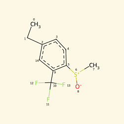 CCc1ccc([S+](C)[O-])c(C(F)(F)F)c1